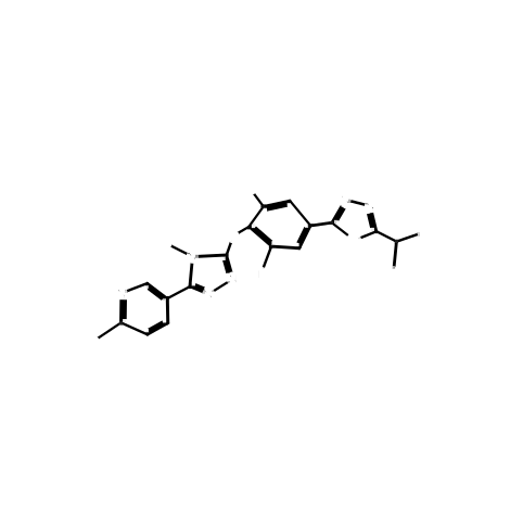 Cc1ccc(-c2nnc(Sc3c(F)cc(-c4nnc(C(F)F)o4)cc3F)n2C)cn1